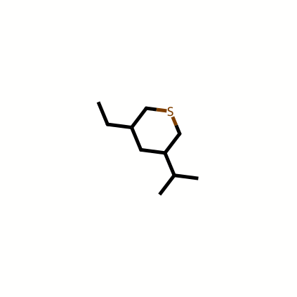 CCC1CSCC(C(C)C)C1